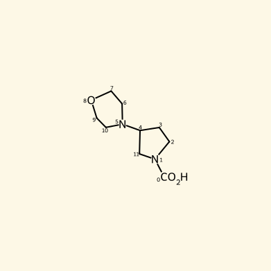 O=C(O)N1CCC(N2CCOCC2)C1